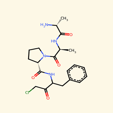 C[C@H](NC(=O)[C@@H](C)N)C(=O)N1CCC[C@H]1C(=O)NC(Cc1ccccc1)C(=O)CCl